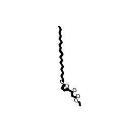 CCCCCCCC/C=C/CCCCCCCCOc1ccc(C(=O)CC(=O)OCC)o1